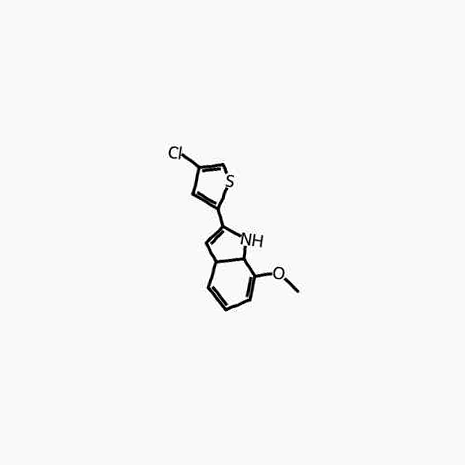 COC1=CC=CC2C=C(c3cc(Cl)cs3)NC12